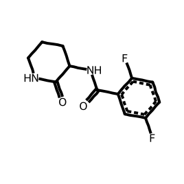 O=C(NC1CCCNC1=O)c1cc(F)ccc1F